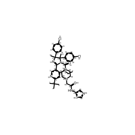 CCOc1cc(C(C)(C)C)ncc1C1=NC(C)(c2ccc(Cl)cc2)C(C)(c2ccc(Cl)cc2)N1C(=O)N1CCN(CC(=O)Nc2cncs2)CC1